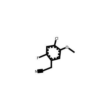 COc1cc(CC#N)c(F)cc1Cl